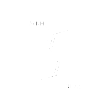 CC(=O)N/C(C)=C/C=C(\C)NC(C)=O